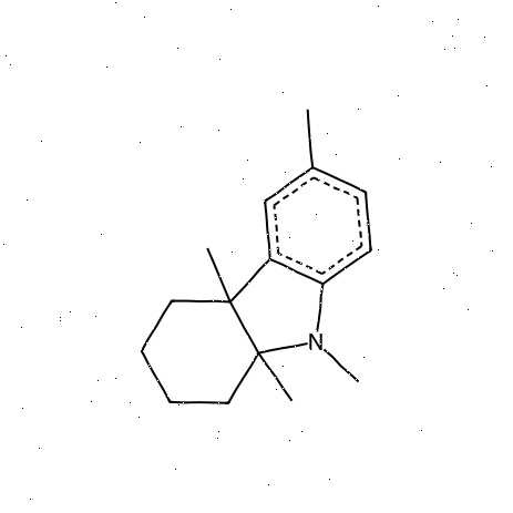 Cc1ccc2c(c1)C1(C)CCCCC1(C)N2C